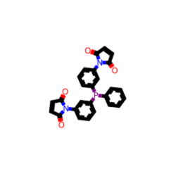 O=C1C=CC(=O)N1c1cccc(P(c2ccccc2)c2cccc(N3C(=O)C=CC3=O)c2)c1